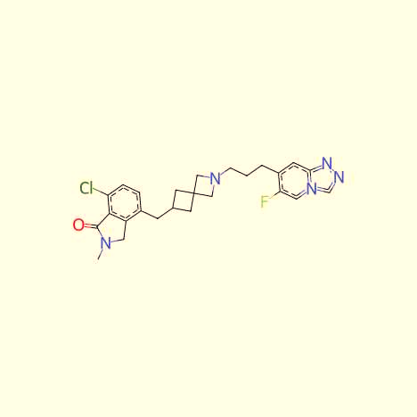 CN1Cc2c(CC3CC4(C3)CN(CCCc3cc5nncn5cc3F)C4)ccc(Cl)c2C1=O